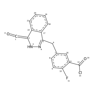 O=C=C1NN=C(Cc2ccc(F)c(C(=O)Cl)c2)c2ccccc21